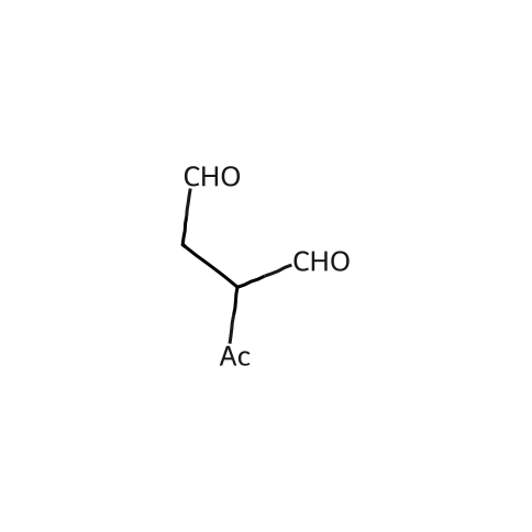 CC(=O)C(C=O)CC=O